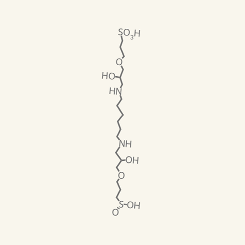 O=S(O)CCCOCC(O)CNCCCCCCNCC(O)COCCCS(=O)(=O)O